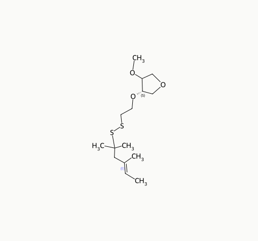 C/C=C(\C)CC(C)(C)SSCCO[C@H]1COCC1OC